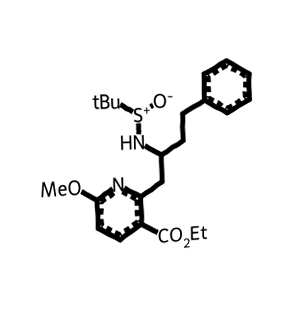 CCOC(=O)c1ccc(OC)nc1CC(CCc1ccccc1)N[S+]([O-])C(C)(C)C